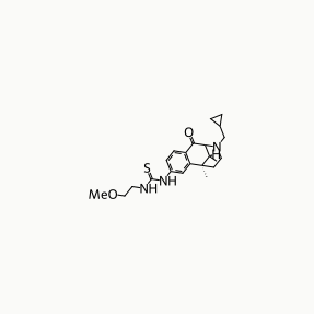 COCCNC(=S)Nc1ccc2c(c1)[C@]1(C)CCN(CC3CC3)C(C2=O)[C@@H]1C